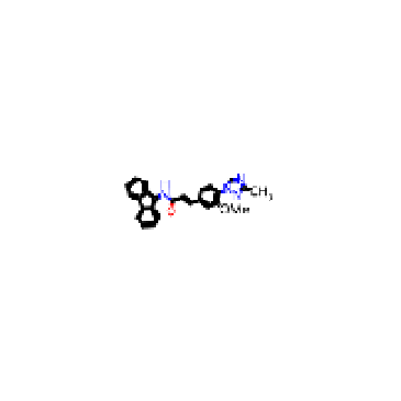 COc1cc(C=CC(=O)NC2c3ccccc3-c3ccccc32)ccc1-n1cnc(C)n1